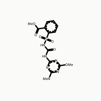 CNc1nc(NC(=O)NS(=O)(=O)c2ccccc2C(=O)OC)nc(OC)n1